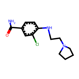 NC(=O)c1ccc(NCCN2CCCC2)c(Cl)c1